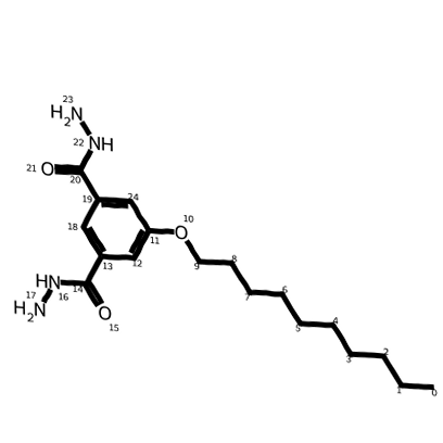 CCCCCCCCCCOc1cc(C(=O)NN)cc(C(=O)NN)c1